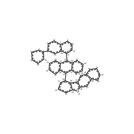 c1ccc(-c2ccc3cccc(-c4c5ccccc5c(-c5cccc6oc7cc8ccccc8cc7c56)c5ccccc45)c3c2)cc1